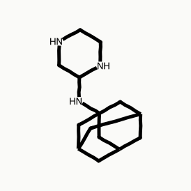 C1CNC(NC23CC4CC(CC(C4)C2)C3)CN1